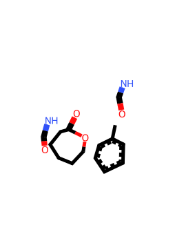 Cc1ccccc1.N=C=O.N=C=O.O=C1CCCCCO1